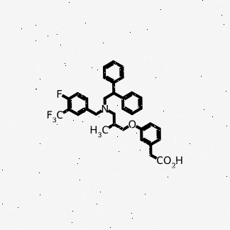 CC(COc1cccc(CC(=O)O)c1)CN(Cc1ccc(F)c(C(F)(F)F)c1)CC(c1ccccc1)c1ccccc1